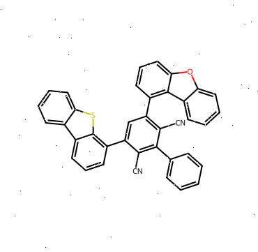 N#Cc1c(-c2cccc3c2sc2ccccc23)cc(-c2cccc3oc4ccccc4c23)c(C#N)c1-c1ccccc1